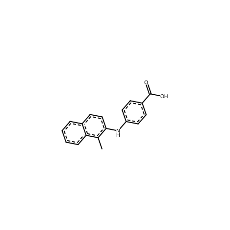 Cc1c(Nc2ccc(C(=O)O)cc2)ccc2ccccc12